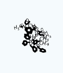 CCN(c1cc(-c2cccc(N(Cc3ccccc3)C(=O)c3cc(C(C)C)c(OCc4ccccc4)cc3OCc3ccccc3)c2)cc(C(=O)NCc2c(C)cc(C)[nH]c2=O)c1C)C1CCOCC1